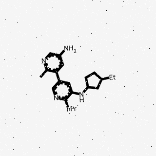 CCCc1ncc(-c2cc(N)cnc2C)cc1NC1CCC(CC)C1